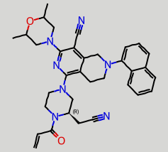 C=CC(=O)N1CCN(c2nc(N3CC(C)OC(C)C3)c(C#N)c3c2CCN(c2cccc4ccccc24)C3)C[C@H]1CC#N